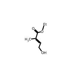 CCOC(=O)C(C)=CCO